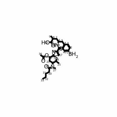 Bc1ccc(CC(CC(C)C(=O)O)NC(=O)c2csc(C(CC(C(C)C)N(C)C(=O)CCCC)OC(C)=O)n2)cc1